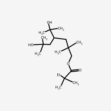 CCC(C)(C)C(=O)OCC(C)(C)CC(CC(C)(C)O)C(C)(C)O